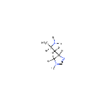 [2H]N1C=NC([2H])(C([2H])([2H])[C@@]([2H])(C(=O)O)N([2H])[2H])C1([2H])[2H]